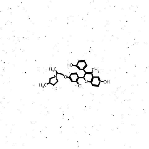 CC1=C(c2cccc(O)c2)C(c2ccc(OCC(C)N3CCC(C)C3)cc2Cl)Oc2ccc(O)cc21